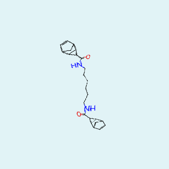 O=C(NCCCCCCNC(=O)C1C2C3C=CC(C3)C12)C1C2C3C=CC(C3)C12